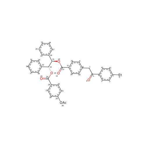 CCc1ccc(C(=O)Cc2ccc(C(=O)O[C@H](c3ccccc3)[C@H](OC(=O)c3ccc(OC(C)=O)cc3)c3ccccc3)cc2)cc1